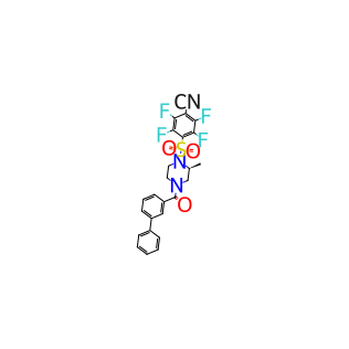 C[C@H]1CN(C(=O)c2cccc(-c3ccccc3)c2)CCN1S(=O)(=O)c1c(F)c(F)c(C#N)c(F)c1F